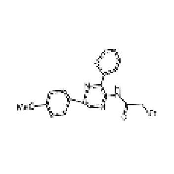 COc1ccc(-c2cnc(NC(=O)CC(C)C)c(-c3ccccc3)n2)cc1